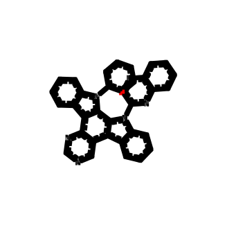 c1ccc(-n2c3ccccc3c3c4ncncc4c4c5ccccc5n(-c5cnc6ccccc6n5)c4c32)cc1